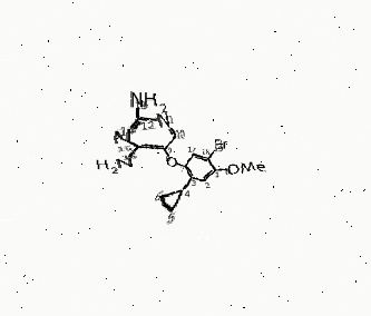 COc1cc(C2CC2)c(Oc2cnc(N)nc2N)cc1Br